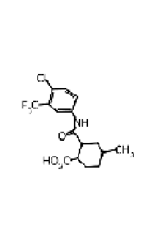 CC1CCC(C(=O)O)C(C(=O)Nc2ccc(Cl)c(C(F)(F)F)c2)C1